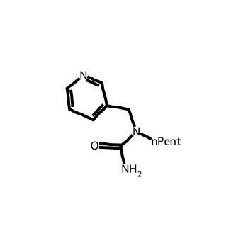 CCCCCN(Cc1cccnc1)C(N)=O